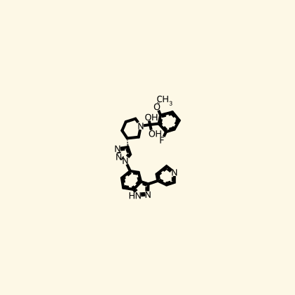 COc1cccc(F)c1C(O)(O)N1CCC[C@@H](c2cn(-c3ccc4[nH]nc(-c5ccncc5)c4c3)nn2)C1